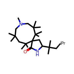 CC(C)CC(C)(C)C1CC2(C(=O)N1)C(C)(C)CC(C)(C)CN(C)CC(C)(C)C2(C)C